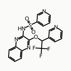 O=S(=O)(Nc1nc2ccccc2nc1OC(c1cccnc1)C(F)(F)F)c1cccnc1